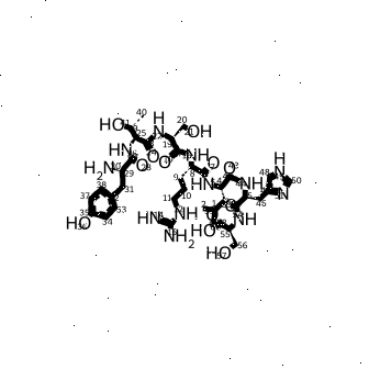 CC(C)C[C@H](NC(=O)[C@H](CCCNC(=N)N)NC(=O)[C@H](CO)NC(=O)[C@@H](NC(=O)[C@@H](N)Cc1ccc(O)cc1)[C@@H](C)O)C(=O)N[C@@H](Cc1c[nH]cn1)C(=O)N[C@@H](CO)C(=O)O